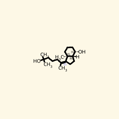 C/C(CCCC(C)(C)O)=C1\CC[C@H]2[C@@H](O)CCC[C@]12C